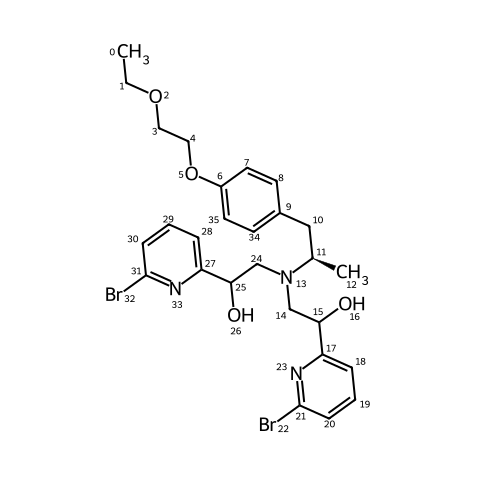 CCOCCOc1ccc(C[C@@H](C)N(CC(O)c2cccc(Br)n2)CC(O)c2cccc(Br)n2)cc1